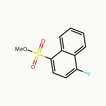 [CH2]OS(=O)(=O)c1ccc(F)c2ccccc12